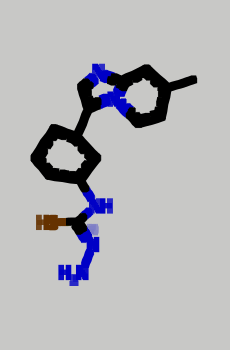 Cc1ccn2c(-c3cccc(N/C(S)=N/N)c3)cnc2c1